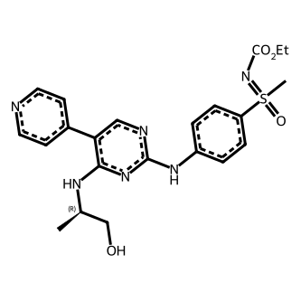 CCOC(=O)N=S(C)(=O)c1ccc(Nc2ncc(-c3ccncc3)c(N[C@H](C)CO)n2)cc1